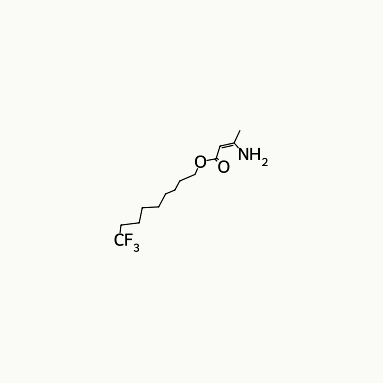 CC(N)=CC(=O)OCCCCCCCCC(F)(F)F